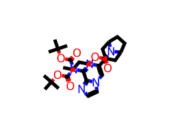 CCCCOC(=O)N1C2CCC1CC(c1cn3ccnc3c(N(C(=O)OC(C)(C)C)C(=O)OC(C)(C)C)n1)C2